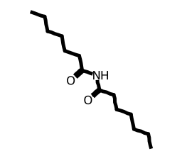 CCCCCCC(=O)NC(=O)CCCCCC